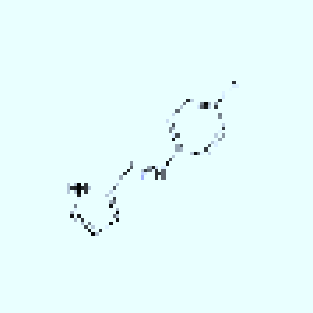 Brc1ccc(/N=C/c2ccc[nH]2)cc1